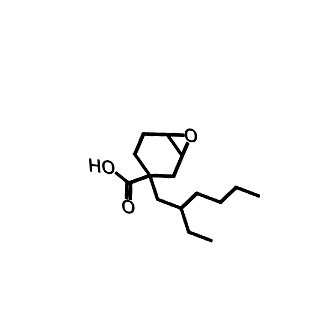 CCCCC(CC)CC1(C(=O)O)CCC2OC2C1